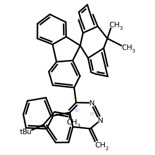 C=C(/N=N\C(=C(/C)c1ccccc1)c1ccc2c(c1)C1(c3ccccc3-2)c2ccccc2C(C)(C)c2ccccc21)c1ccc(C(C)(C)C)cc1